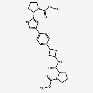 CC(C)(C)OC(=O)N1CCCC1C(=O)NC1CC(c2ccc(-c3c[nH]c([C@@H]4CCCN4C(=O)OC(C)(C)C)n3)cc2)C1